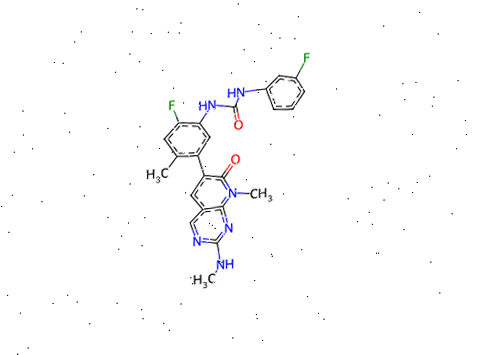 CNc1ncc2cc(-c3cc(NC(=O)Nc4cccc(F)c4)c(F)cc3C)c(=O)n(C)c2n1